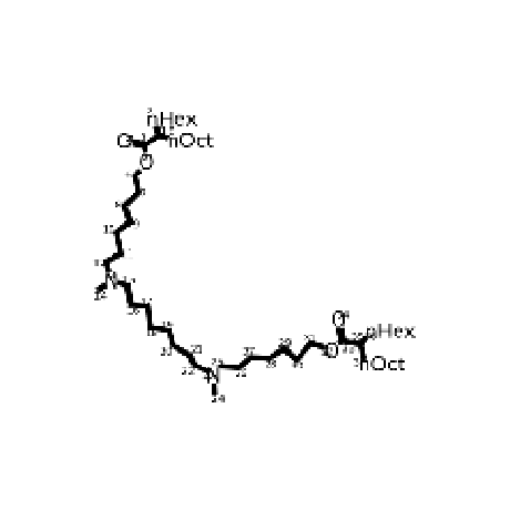 CCCCCCCCC(CCCCCC)C(=O)OCCCCCCCN(C)CCCCCCCCN(C)CCCCCCCOC(=O)C(CCCCCC)CCCCCCCC